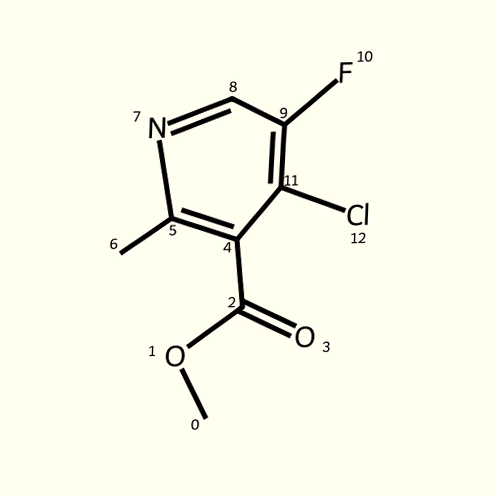 COC(=O)c1c(C)ncc(F)c1Cl